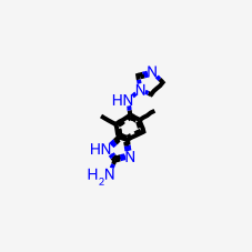 Cc1cc2nc(N)[nH]c2c(C)c1NN1C=NCC1